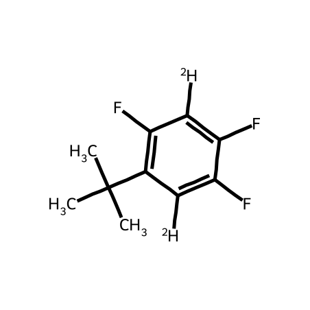 [2H]c1c(F)c(F)c([2H])c(C(C)(C)C)c1F